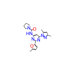 Cc1cc(C)n(-c2cc(NC(=O)N3CCCC3)nc(-c3ccc(C)o3)n2)n1